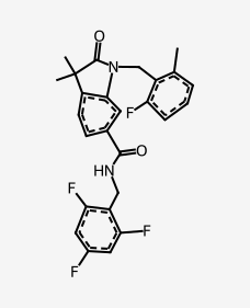 Cc1cccc(F)c1CN1C(=O)C(C)(C)c2ccc(C(=O)NCc3c(F)cc(F)cc3F)cc21